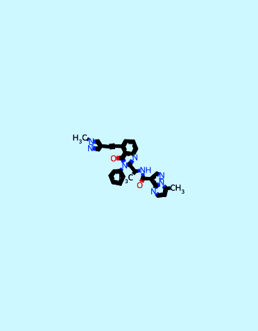 Cc1ccnc2c(C(=O)NC(C)c3nc4cccc(C#Cc5cnn(C)c5)c4c(=O)n3-c3ccccc3)cnn12